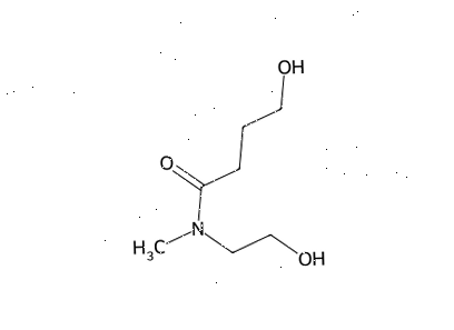 CN(CCO)C(=O)CCCO